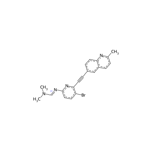 Cc1ccc2cc(C#Cc3nc(/N=C/N(C)C)ccc3Br)ccc2n1